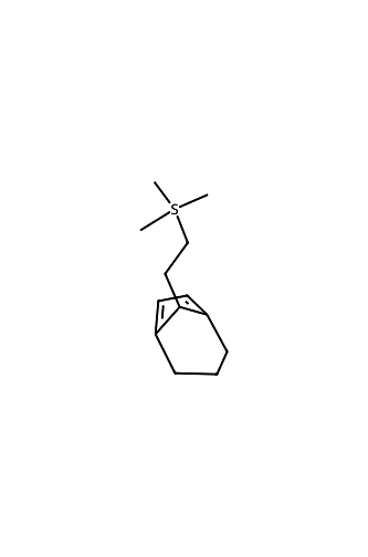 CS(C)(C)CCC1C2=CC=C1CCC2